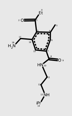 CCC(=O)c1c(C)cc(C(=O)NCCNC(C)C)cc1CN